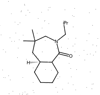 CC(C)CN1CC(C)(C)C[C@@H]2CCCCC2C1=O